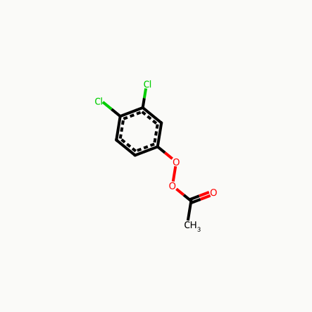 CC(=O)OOc1ccc(Cl)c(Cl)c1